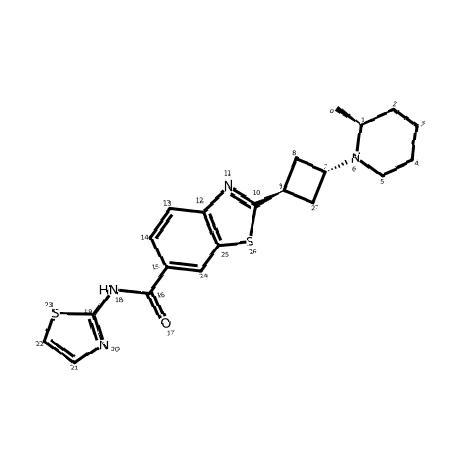 C[C@H]1CCCCN1[C@H]1C[C@H](c2nc3ccc(C(=O)Nc4nccs4)cc3s2)C1